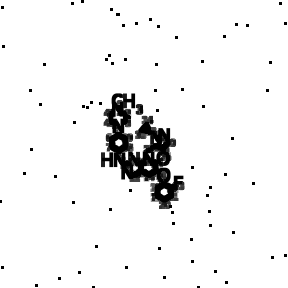 CN1CCN(c2ccc(Nc3ncc4cc(Oc5ccccc5F)c(=O)n(Cc5ccnn5C5CC5)c4n3)cc2)CC1